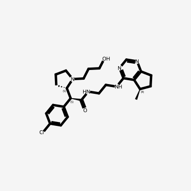 C[C@@H]1CCc2ncnc(NCCNC(=O)[C@@H](c3ccc(Cl)cc3)[C@@H]3CCCN3CCCO)c21